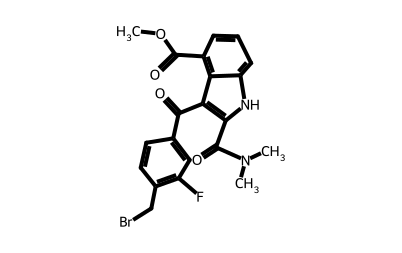 COC(=O)c1cccc2[nH]c(C(=O)N(C)C)c(C(=O)c3ccc(CBr)c(F)c3)c12